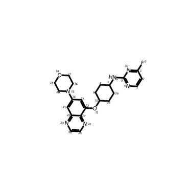 Fc1ccnc(NC2CCC(Oc3cc(N4CCOCC4)cc4nccnc34)CC2)n1